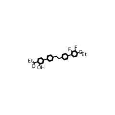 CCOc1ccc(-c2ccc(CCc3ccc(-c4ccc(C(=O)CC)c(O)c4)cc3)cc2)c(F)c1F